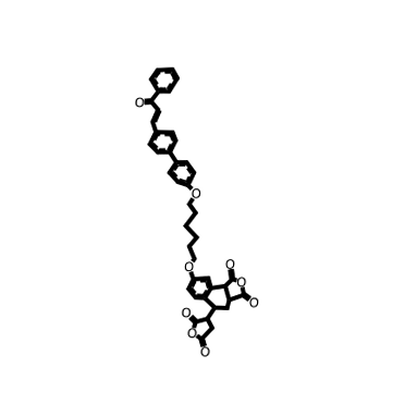 O=C1CC(C2CC3C(=O)OC(=O)C3c3cc(OCCCCCCOc4ccc(-c5ccc(/C=C/C(=O)c6ccccc6)cc5)cc4)ccc32)C(=O)O1